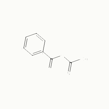 CCCCC(=N)OC(=O)c1ccccc1